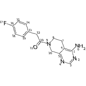 Nc1ncnc2c1CCN(C(=O)Cc1ccc(F)cc1)C2